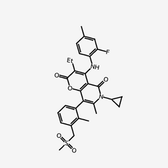 CCc1c(Nc2ccc(C)cc2F)c2c(=O)n(C3CC3)c(C)c(-c3cccc(CS(C)(=O)=O)c3C)c2oc1=O